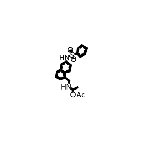 CC(=O)OC(C)NCc1cccc2cc(NS(=O)(=O)c3ccccc3)ccc12